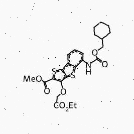 CCOC(=O)COc1c(C(=O)OC)sc2c1sc1c(NC(=O)OCC3CCCCC3)cccc12